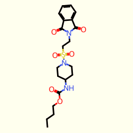 CCCCOC(=O)NC1CCN(S(=O)(=O)CCN2C(=O)c3ccccc3C2=O)CC1